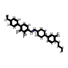 CCCCc1ccc(C2CCC(/C=C/c3ccc(-c4ccc(CC)cc4)c(F)c3F)CC2)cc1F